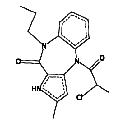 CCCN1C(=O)c2[nH]c(C)cc2N(C(=O)C(C)Cl)c2ccccc21